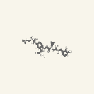 CN(C)CCN(C)C(=O)Nc1ccc2c(c1)c(C(N)=O)nn2CC(=O)N(CC(=O)NCc1cccc(Cl)c1F)C1CC1